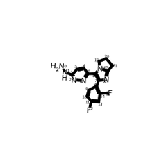 NNc1ccc(-c2c(-c3ccc(F)cc3F)nc3n2CCC3)nn1